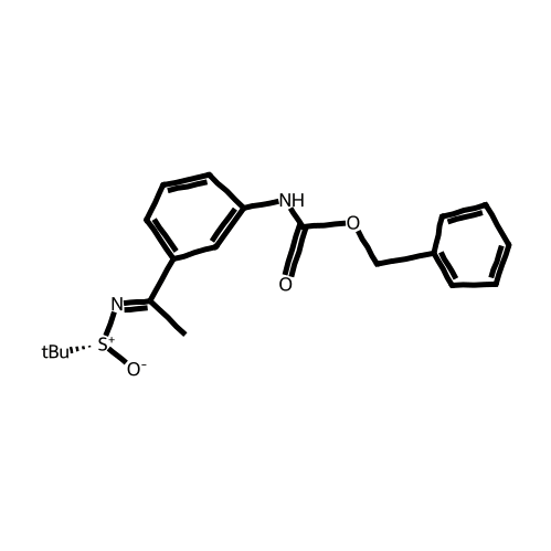 C/C(=N\[S@+]([O-])C(C)(C)C)c1cccc(NC(=O)OCc2ccccc2)c1